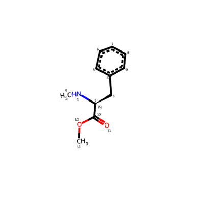 CN[C@@H](Cc1ccccc1)C(=O)OC